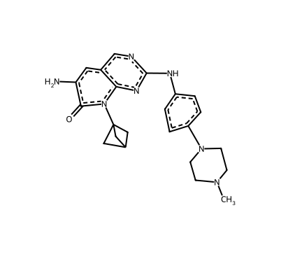 CN1CCN(c2ccc(Nc3ncc4cc(N)c(=O)n(C56CC(C5)C6)c4n3)cc2)CC1